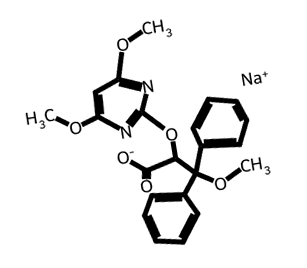 COc1cc(OC)nc(OC(C(=O)[O-])C(OC)(c2ccccc2)c2ccccc2)n1.[Na+]